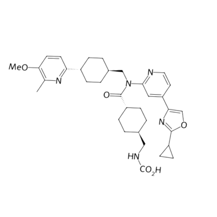 COc1ccc([C@H]2CC[C@H](CN(c3cc(-c4coc(C5CC5)n4)ccn3)C(=O)[C@H]3CC[C@H](CNC(=O)O)CC3)CC2)nc1C